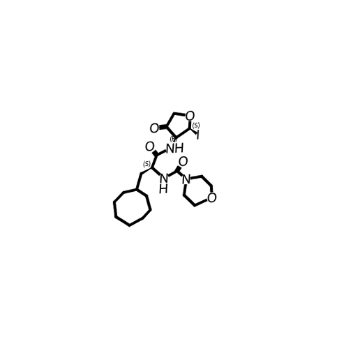 O=C(N[C@@H]1C(=O)CO[C@H]1I)[C@H](CC1CCCCCCC1)NC(=O)N1CCOCC1